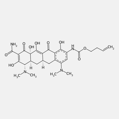 C=CCCOC(=O)Nc1cc(N(C)C)c2c(c1O)C(=O)C1=C(O)[C@]3(O)C(=O)C(C(N)=O)=C(O)[C@@H](N(C)C)[C@@H]3C[C@@H]1C2